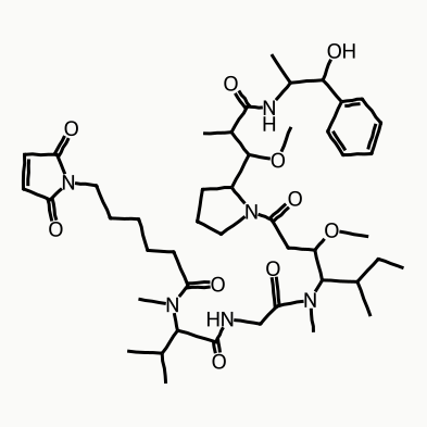 CCC(C)C(C(CC(=O)N1CCCC1C(OC)C(C)C(=O)NC(C)C(O)c1ccccc1)OC)N(C)C(=O)CNC(=O)C(C(C)C)N(C)C(=O)CCCCCN1C(=O)C=CC1=O